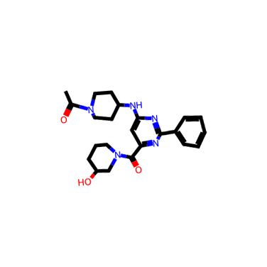 CC(=O)N1CCC(Nc2cc(C(=O)N3CCCC(O)C3)nc(-c3ccccc3)n2)CC1